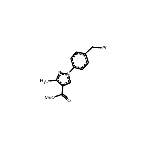 COC(=O)c1cn(-c2ccc(CC(C)C)cc2)nc1C